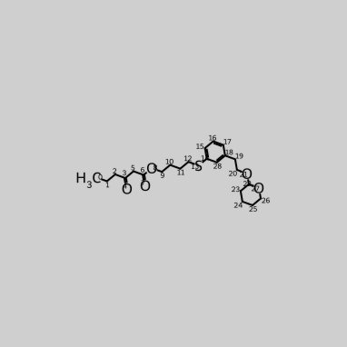 CCCC(=O)CC(=O)OCCCCSc1cccc(CCOC2CCCCO2)c1